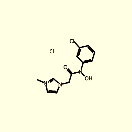 C[n+]1ccn(CC(=O)N(O)c2cccc(Cl)c2)c1.[Cl-]